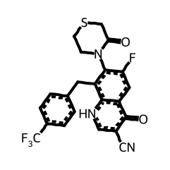 N#Cc1c[nH]c2c(Cc3ccc(C(F)(F)F)cc3)c(N3CCSCC3=O)c(F)cc2c1=O